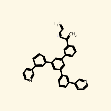 C=C/C=C\C(=C)c1cccc(-c2cc(-c3cccc(-c4cccnc4)c3)cc(-c3cccc(-c4cccnc4)c3)c2)c1